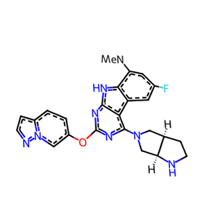 CNc1cc(F)cc2c1[nH]c1nc(Oc3ccc4ccnn4c3)nc(N3C[C@H]4CCN[C@H]4C3)c12